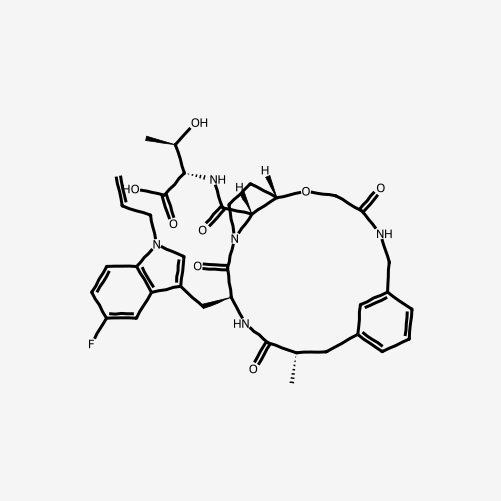 C=CCn1cc(C[C@@H]2NC(=O)[C@@H](C)Cc3cccc(c3)CNC(=O)CO[C@H]3CCN(C2=O)[C@@H]3C(=O)N[C@H](C(=O)O)[C@@H](C)O)c2cc(F)ccc21